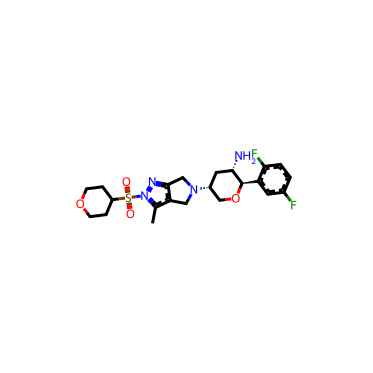 Cc1c2c(nn1S(=O)(=O)C1CCOCC1)CN([C@H]1CO[C@H](c3cc(F)ccc3F)[C@@H](N)C1)C2